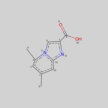 Cc1cc(C)n2cc(C(=O)O)nc2c1